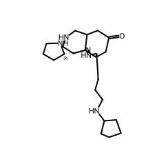 O=C1CC2CNCCC23C(C1)C(CCCNC1CCCC1)NN3[C@@H]1CCCN1